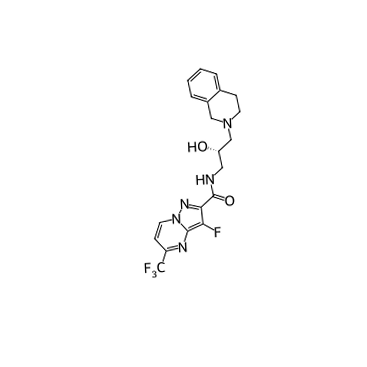 O=C(NC[C@H](O)CN1CCc2ccccc2C1)c1nn2ccc(C(F)(F)F)nc2c1F